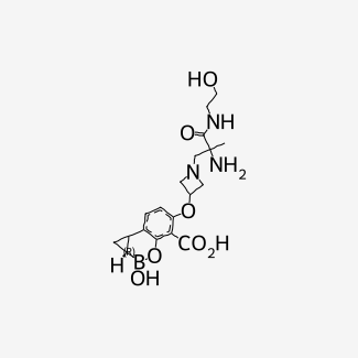 CC(N)(CN1CC(Oc2ccc3c(c2C(=O)O)OB(O)[C@@H]2CC32)C1)C(=O)NCCO